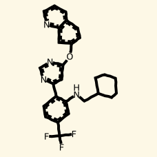 FC(F)(F)c1ccc(-c2cc(Oc3ccc4cccnc4c3)ncn2)c(NCC2CCCCC2)c1